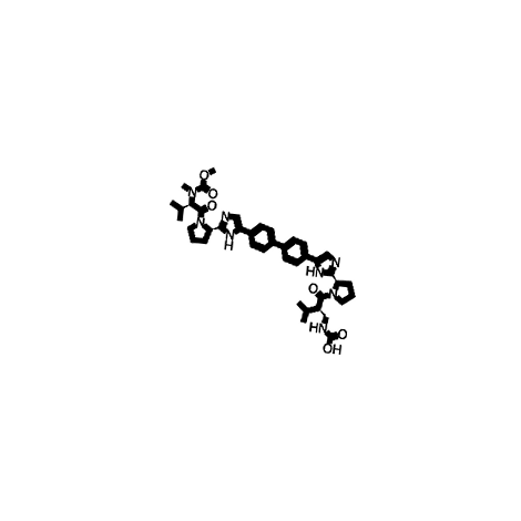 COC(=O)N(C)[C@H](C(=O)N1CCC[C@H]1c1ncc(-c2ccc(-c3ccc(-c4cnc([C@@H]5CCCN5C(=O)[C@H](CNC(=O)O)C(C)C)[nH]4)cc3)cc2)[nH]1)C(C)C